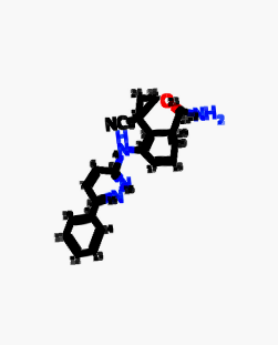 N#CC1(c2c(Nc3ccc(-c4ccccc4)nn3)cccc2C(N)=O)CC1